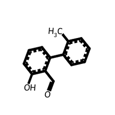 Cc1ccccc1-c1cccc(O)c1C=O